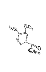 COC(=O)c1cnc(S)c([N+](=O)[O-])c1